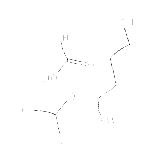 CC(=O)O.CCCCCC.ClC(Cl)Cl